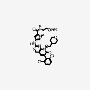 COCCN(C)C(=O)c1cc(Nc2ncc3cc(-c4c(Cl)cccc4Cl)c(=O)n(OCC4CCOCC4)c3n2)cn1C